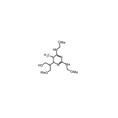 COCNC1=NC(N(CO)COC)N(C)C(NCOC)=N1